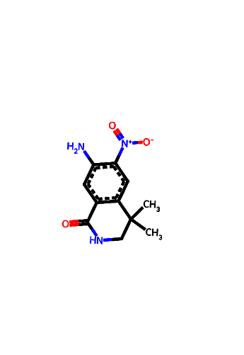 CC1(C)CNC(=O)c2cc(N)c([N+](=O)[O-])cc21